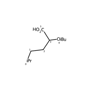 CC(C)CCC(OCC(C)C)C(=O)O